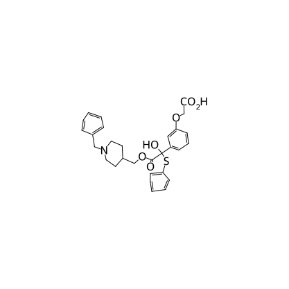 O=C(O)COc1cccc(C(O)(Sc2ccccc2)C(=O)OCC2CCN(Cc3ccccc3)CC2)c1